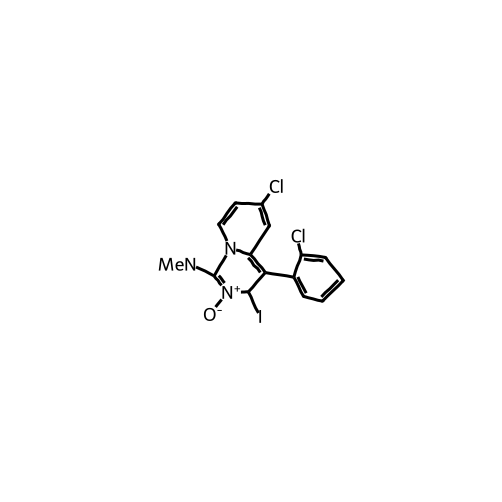 CNC1=[N+]([O-])C(I)C(c2ccccc2Cl)=C2C=C(Cl)C=CN21